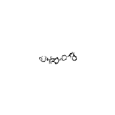 c1ccn2c(C3CCN(c4ccc5nc(N6CCOCC6)sc5c4)CC3)cnc2c1